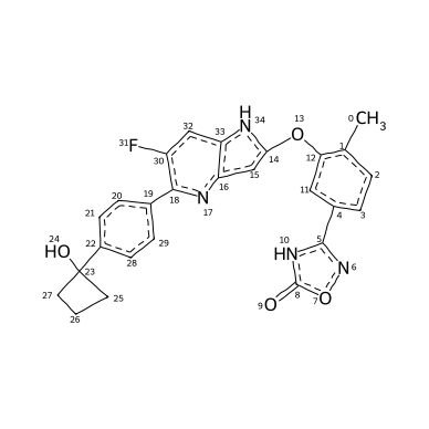 Cc1ccc(-c2noc(=O)[nH]2)cc1Oc1cc2nc(-c3ccc(C4(O)CCC4)cc3)c(F)cc2[nH]1